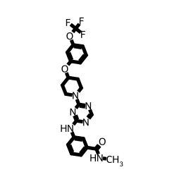 CNC(=O)c1cccc(Nc2ncnc(N3CCC(Oc4cccc(OC(F)(F)F)c4)CC3)n2)c1